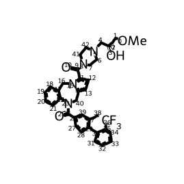 COC[C@H](O)CN1CCN(C(=O)c2ccc3n2Cc2ccccc2N(C(=O)c2ccc(-c4ccccc4C(F)(F)F)c(C)c2)C3)CC1